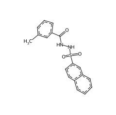 Cc1cccc(C(=O)NNS(=O)(=O)c2ccc3ccccc3c2)c1